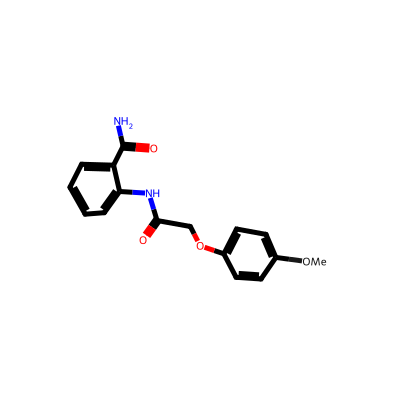 COc1ccc(OCC(=O)Nc2ccccc2C(N)=O)cc1